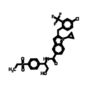 CCS(=O)(=O)c1ccc(C(CO)NC(=O)c2ccc3c(c2)cc(Cc2ccc(Cl)cc2C(F)(F)F)n3C2CC2)cc1